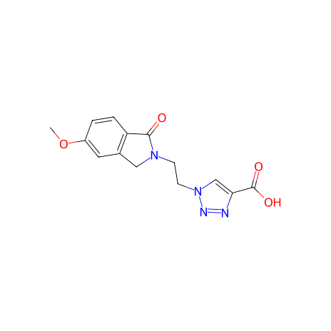 COc1ccc2c(c1)CN(CCn1cc(C(=O)O)nn1)C2=O